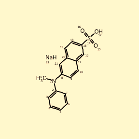 CN(c1ccccc1)c1ccc2cc(S(=O)(=O)O)ccc2c1.[NaH]